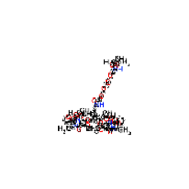 C=C1C[C@H]2[C@H](OC3CCCCO3)N(C(=O)OC(C)(C)C)c3cc(OCc4cc(C#CCNC(=O)CCOCCOCCOCCOCCNC(=O)OC(C)(C)C)cc(COc5cc6c(cc5OC)C(=O)N5CC(=C)C[C@H]5[C@H](OC5CCCCO5)N6C(=O)OC(C)(C)C)c4)c(OC)cc3C(=O)N2C1